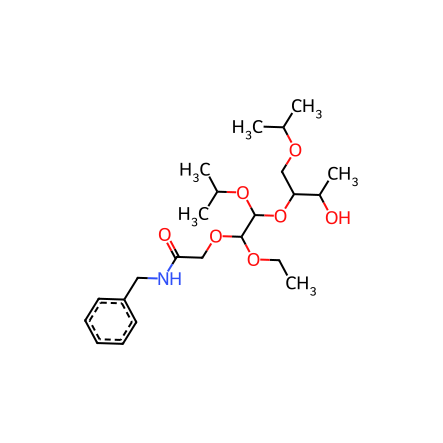 CCOC(OCC(=O)NCc1ccccc1)C(OC(C)C)OC(COC(C)C)C(C)O